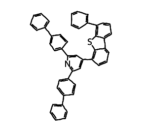 c1ccc(-c2ccc(-c3cc(-c4cccc5c4sc4c(-c6ccccc6)cccc45)cc(-c4ccc(-c5ccccc5)cc4)n3)cc2)cc1